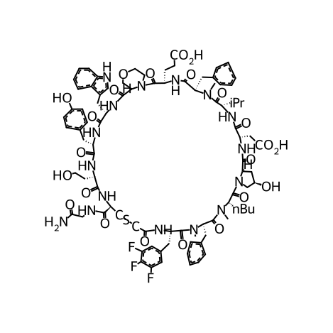 CCCC[C@H]1C(=O)N2C[C@H](O)C[C@@H]2C(=O)N[C@@H](CC(=O)O)C(=O)N[C@@H](C(C)C)C(=O)N(C)[C@@H](Cc2ccccc2)C(=O)N[C@@H](CCC(=O)O)C(=O)N2CCOC[C@@H]2C(=O)N[C@@H](Cc2c[nH]c3ccccc23)C(=O)N[C@@H](Cc2ccc(O)cc2)C(=O)N[C@@H](CCO)C(=O)N[C@H](C(=O)NCC(N)=O)CSCC(=O)N[C@@H](Cc2cc(F)c(F)c(F)c2)C(=O)N(C)[C@@H](Cc2ccccc2)C(=O)N1C